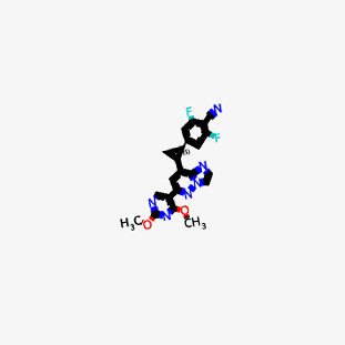 COc1ncc(-c2cc(C3C[C@@H]3c3cc(F)c(C#N)c(F)c3)c3nccn3n2)c(OC)n1